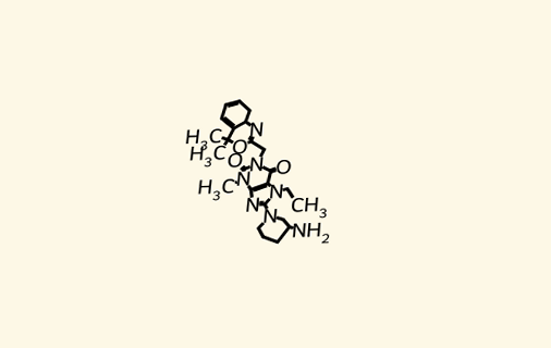 CCn1c(N2CCCC(N)C2)nc2c1c(=O)n(CC1=NC3CC=CC=C3C(C)(C)O1)c(=O)n2C